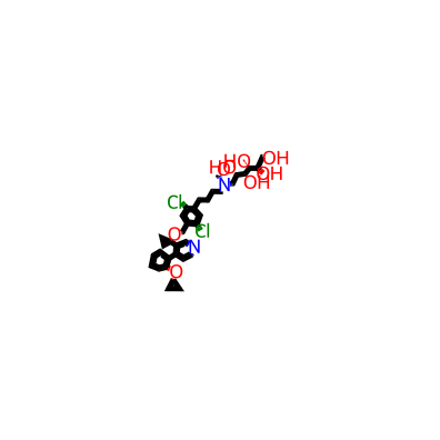 O=CN(CCCCc1cc(Cl)c(COC2(c3cnccc3-c3ccccc3OC3CC3)CC2)cc1Cl)C[C@H](O)[C@@H](O)[C@H](O)C(O)CO